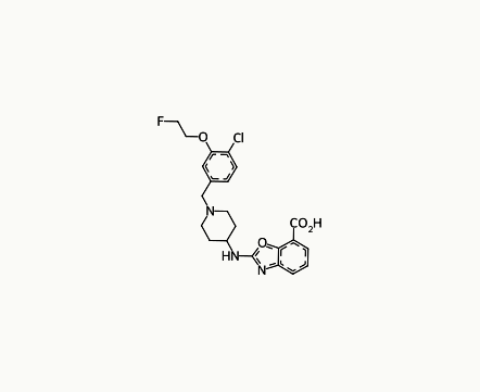 O=C(O)c1cccc2nc(NC3CCN(Cc4ccc(Cl)c(OCCF)c4)CC3)oc12